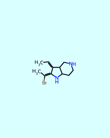 C/C=C1\C(=C(/C)Br)NC2CCNCC12